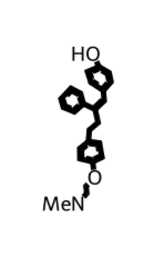 CNCCOc1ccc(CC/C(=C/c2ccc(O)cc2)c2ccccc2)cc1